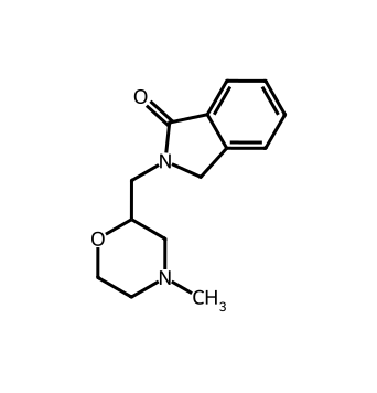 CN1CCOC(CN2Cc3ccccc3C2=O)C1